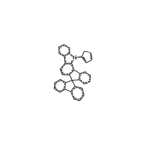 C1=CCC(n2c3ccccc3c3ccc4c(c32)-c2ccccc2C42c3ccccc3-c3ccccc32)=C1